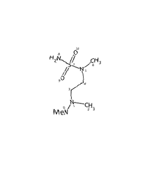 CNN(C)CCN(C)S(N)(=O)=O